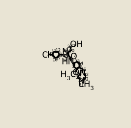 COc1cc(NC(=O)c2sc(-c3ccc(Cl)cc3)nc2CCO)ccc1CN1CCN(C)CC1